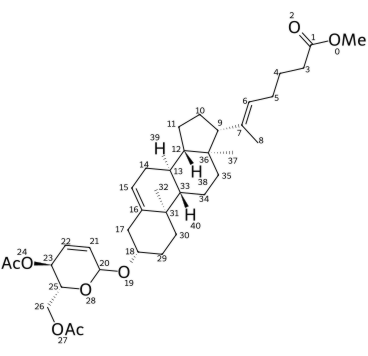 COC(=O)CCC/C=C(\C)[C@H]1CC[C@H]2[C@@H]3CC=C4C[C@@H](OC5C=C[C@H](OC(C)=O)[C@@H](COC(C)=O)O5)CC[C@]4(C)[C@H]3CC[C@]12C